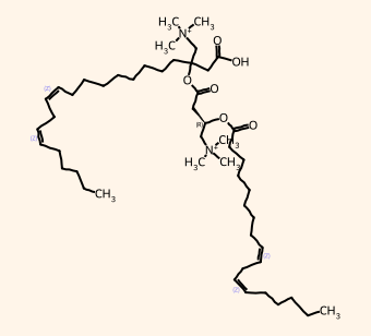 CCCCC/C=C\C/C=C\CCCCCCCCC(CC(=O)O)(C[N+](C)(C)C)OC(=O)C[C@H](C[N+](C)(C)C)OC(=O)CCCCCCC/C=C\C/C=C\CCCCC